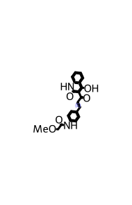 COCC(=O)Nc1ccc(/C=C/C(=O)c2c(O)c3ccccc3[nH]c2=O)cc1